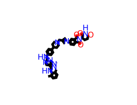 Cc1cccc(C)c1Nc1nn(C)c2nc(Nc3ccc(C4CCN(CC5CN(c6ccc7c(c6)C(=O)N(C6CCC(=O)NC6=O)C7=O)C5)CC4)cc3)ncc12